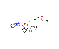 CCCCCCCCC1OC1CCCCCCCC(=O)OC(=O)c1cn2c(n1)sc1ccccc12.O=C(O)C(O)Cc1ccccc1